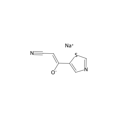 N#CC=C([O-])c1cncs1.[Na+]